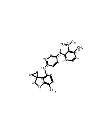 Cc1ccc(Oc2ccc(Nc3nccc(C)c3[N+](=O)[O-])cn2)c2c1OCC21CC1